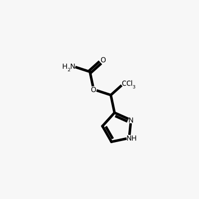 NC(=O)OC(c1cc[nH]n1)C(Cl)(Cl)Cl